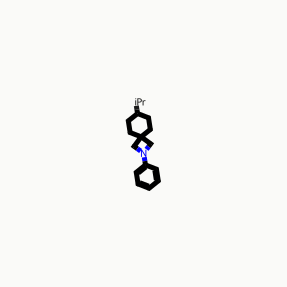 CC(C)C1CCC2(CC1)CN(c1ccccc1)C2